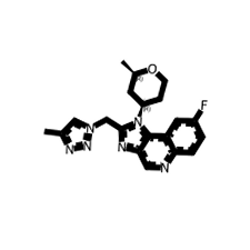 Cc1cn(Cc2nc3cnc4ccc(F)cc4c3n2[C@@H]2CCO[C@H](C)C2)nn1